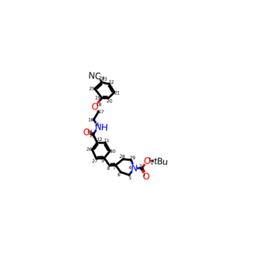 CC(C)(C)OC(=O)N1CCC(=Cc2ccc(C(=O)NCCOc3cccc(C#N)c3)cc2)CC1